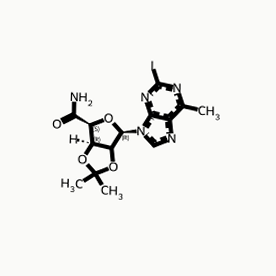 Cc1nc(I)nc2c1ncn2[C@@H]1O[C@H](C(N)=O)[C@@H]2OC(C)(C)OC21